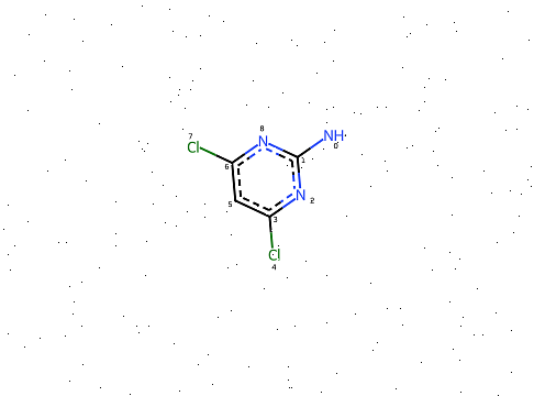 [NH]c1nc(Cl)cc(Cl)n1